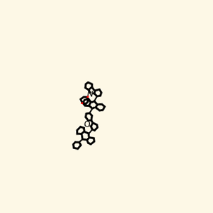 c1ccc(-c2c3ccccc3c(-c3cccc4c3oc3ccc(-c5c6ccccc6c(-c6cccc7c8ccccc8n(-c8ccccc8)c67)c6ccccc56)cc34)c3ccccc23)cc1